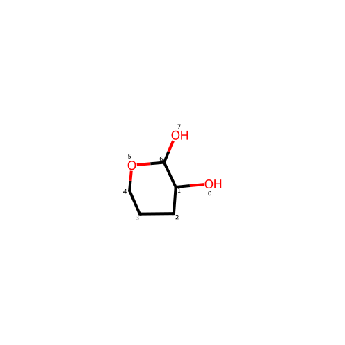 OC1CCCOC1O